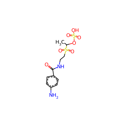 CC(OS(=O)(=O)O)S(=O)(=O)CCNC(=O)c1ccc(N)cc1